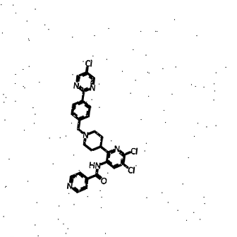 O=C(Nc1cc(Cl)c(Cl)nc1C1CCN(Cc2ccc(-c3ncc(Cl)cn3)cc2)CC1)c1ccncc1